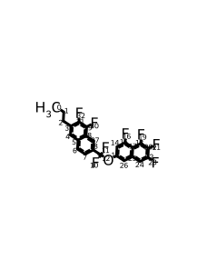 CCCc1cc2ccc(C(F)(F)Oc3cc(F)c4c(F)c(F)c(F)cc4c3)cc2c(F)c1F